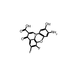 Nc1cc2c(cc1O)-n1cc(C(=O)O)c(=O)c3cc(F)c(F)c(c31)O2